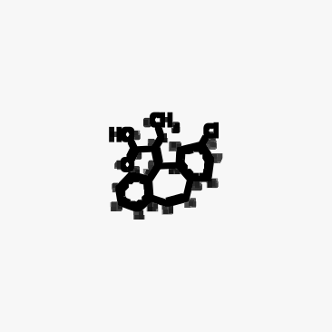 CCC(C(=O)O)=C1c2ccccc2C=Cc2ccc(Cl)cc21